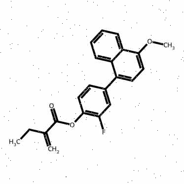 C=C(CC)C(=O)Oc1ccc(-c2ccc(OC)c3ccccc23)cc1F